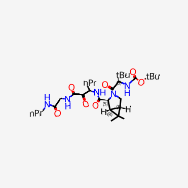 CCCNC(=O)CNC(=O)C(=O)C(CCC)NC(=O)[C@@H]1[C@@H]2[C@H](CN1C(=O)[C@@H](NC(=O)OC(C)(C)C)C(C)(C)C)C2(C)C